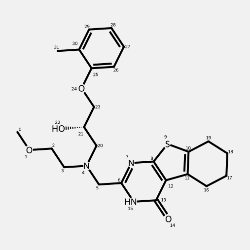 COCCN(Cc1nc2sc3c(c2c(=O)[nH]1)CCCC3)C[C@H](O)COc1ccccc1C